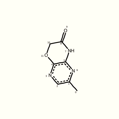 Cc1cnc2c(n1)NC(=O)CO2